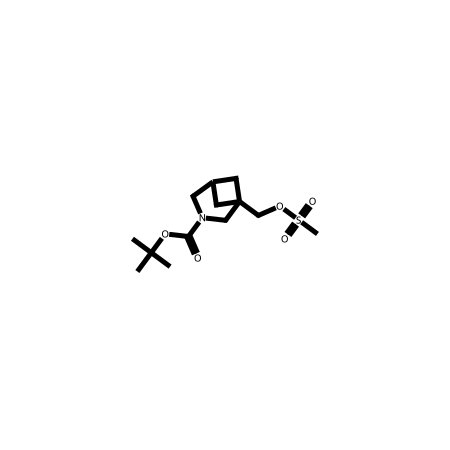 CC(C)(C)OC(=O)N1CC2CC(COS(C)(=O)=O)(C2)C1